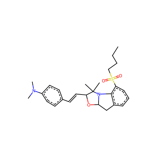 CCCCS(=O)(=O)c1cccc2c1N1C(C2)OC(C=Cc2ccc(N(C)C)cc2)C1(C)C